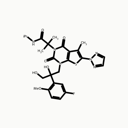 COc1ccc(F)cc1C(O)(CO)Cn1c(=O)n(C(C)(C)C(=O)NC(C)C)c(=O)c2c(C)c(-n3nccn3)sc21